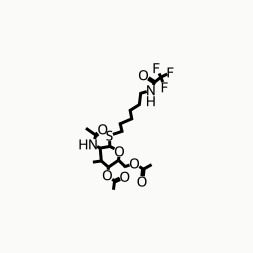 CC(=O)NC1C(SCCCCCCNC(=O)C(F)(F)F)OC(COC(C)=O)C(OC(C)=O)C1C